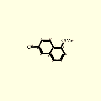 CSc1[c]ccc2cc(Cl)ccc12